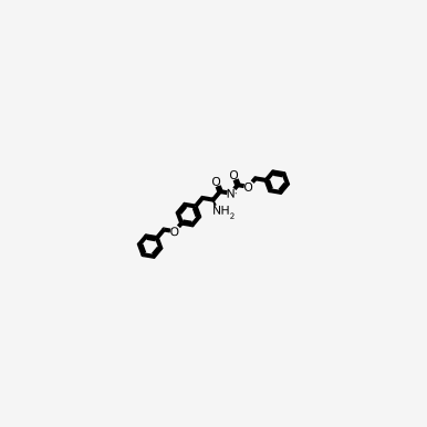 N[C@@H](Cc1ccc(OCc2ccccc2)cc1)C(=O)[N]C(=O)OCc1ccccc1